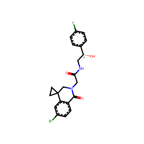 O=C(CN1CC2(CC2)c2cc(Br)ccc2C1=O)NC[C@@H](O)c1ccc(F)cc1